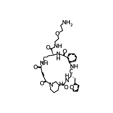 NCCOCCNC(=O)[C@@H]1CCNC(=O)/C=C/C(=O)N2CCC[C@H](C2)C(=O)N[C@@H](Cc2ccco2)CNc2ccccc2C(=O)N1